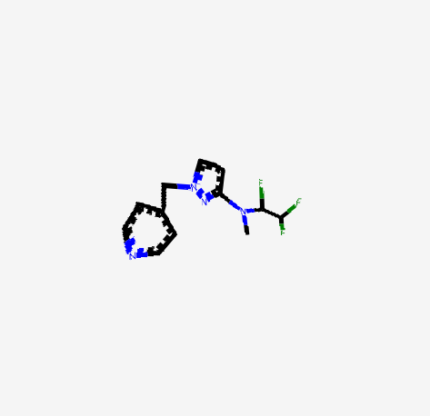 CN(c1ccn(Cc2ccncc2)n1)C(F)C(F)F